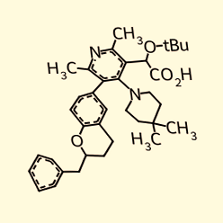 Cc1nc(C)c(C(OC(C)(C)C)C(=O)O)c(N2CCC(C)(C)CC2)c1-c1ccc2c(c1)CCC(Cc1ccccc1)O2